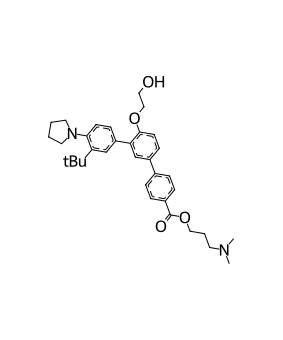 CN(C)CCCOC(=O)c1ccc(-c2ccc(OCCO)c(-c3ccc(N4CCCC4)c(C(C)(C)C)c3)c2)cc1